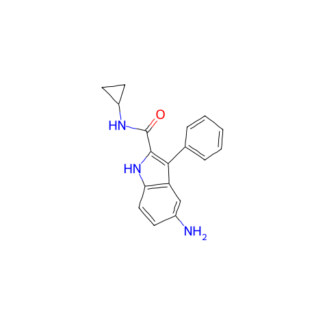 Nc1ccc2[nH]c(C(=O)NC3CC3)c(-c3ccccc3)c2c1